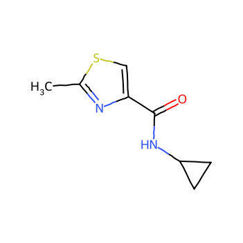 Cc1nc(C(=O)NC2CC2)cs1